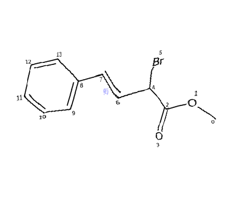 COC(=O)C(Br)/C=C/c1ccccc1